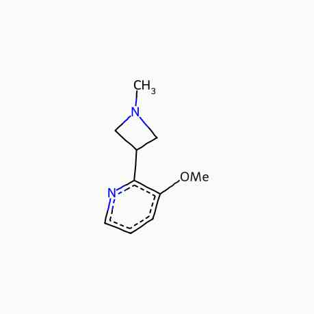 COc1cccnc1C1CN(C)C1